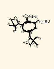 COc1c(COCC(C)C)cc(C2OCC2(C)C)cc1C1OCC1(C)C